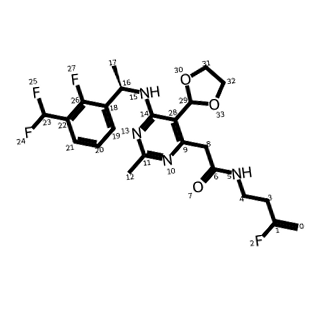 C=C(F)CCNC(=O)Cc1nc(C)nc(N[C@H](C)c2cccc(C(F)F)c2F)c1C1OCCO1